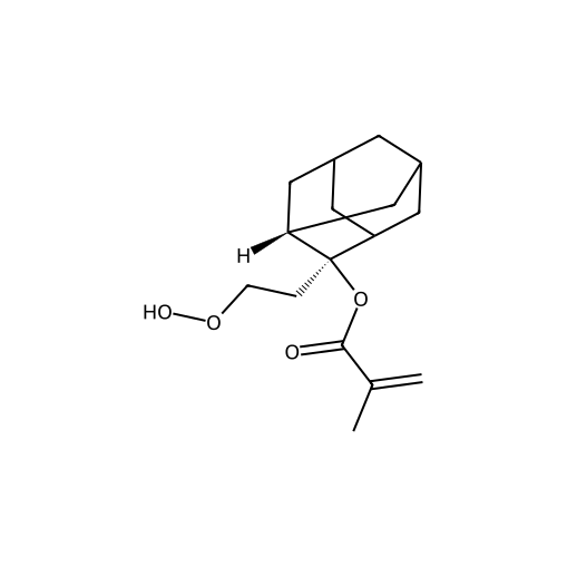 C=C(C)C(=O)O[C@]1(CCOO)C2CC3CC(C2)C[C@@H]1C3